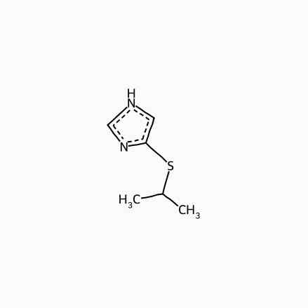 CC(C)Sc1c[nH]cn1